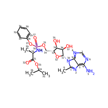 Cc1nc2c(N)ncnc2n1[C@@H]1O[C@H](COP(=O)(N[C@H](C)C(=O)OC(C)C)Oc2ccccc2)[C@@H](O)[C@H]1O